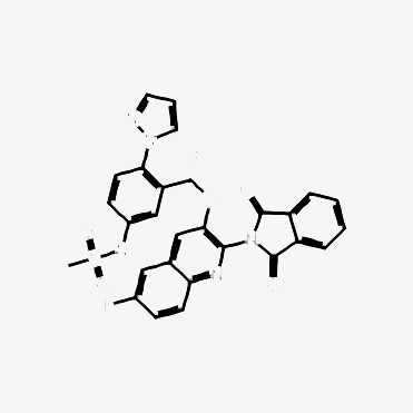 C[C@H](Oc1cc2cc(F)ccc2nc1N1C(=O)c2ccccc2C1=O)c1cc(NS(C)(=O)=O)ccc1-n1cccn1